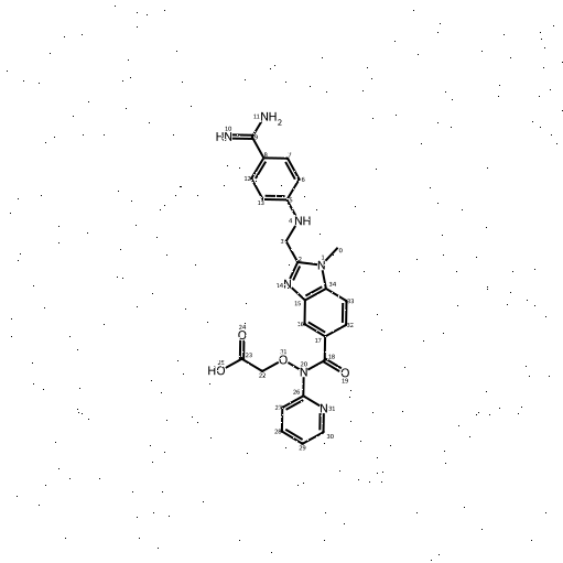 Cn1c(CNc2ccc(C(=N)N)cc2)nc2cc(C(=O)N(OCC(=O)O)c3ccccn3)ccc21